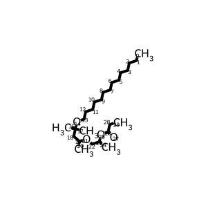 CCCCCCCCCCCCCCOC(C)(C)CC(C)OCC(C)OC(=O)CC